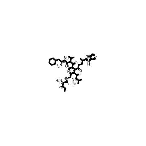 CC[C@@H](C)[C@@H](N)C(=O)NCc1ncc(C(=O)C(C(C)C)C(O)[C@H](O)[C@@H](N)CC2CCCCC2)c(C(=O)CCC(C)c2nc3cscc3[nH]2)c1C(=O)[C@@H](N)C(C)C